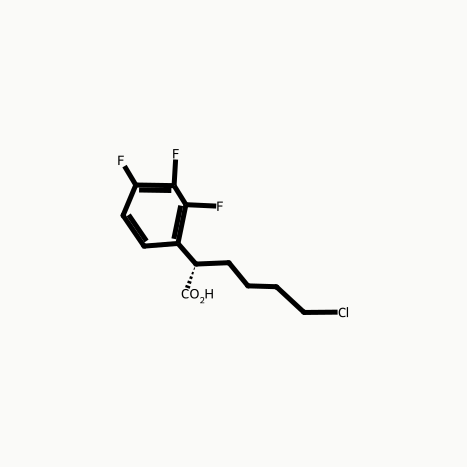 O=C(O)[C@@H](CCCCCl)c1ccc(F)c(F)c1F